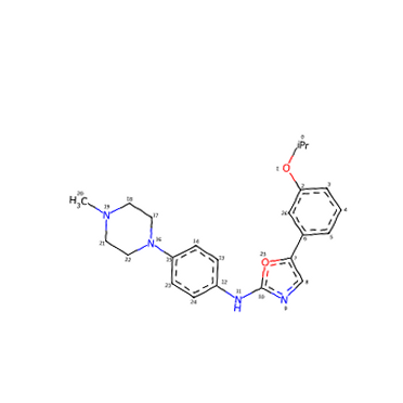 CC(C)Oc1cccc(-c2cnc(Nc3ccc(N4CCN(C)CC4)cc3)o2)c1